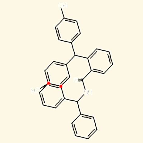 O=C(NC(c1ccccc1)c1ccccc1)c1ccccc1C(c1ccc(O)cc1)c1ccc(O)cc1